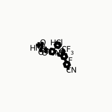 CC1(C)NC(=O)N(CC(=O)N2CC[C@H](NCc3cc(-c4ccc(C#N)cc4F)ccc3OC(F)(F)F)[C@H](c3ccccc3)C2)C1=O.Cl